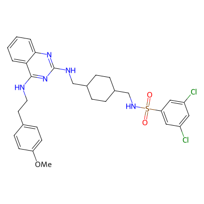 COc1ccc(CCNc2nc(NCC3CCC(CNS(=O)(=O)c4cc(Cl)cc(Cl)c4)CC3)nc3ccccc23)cc1